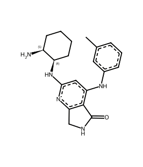 Cc1cccc(Nc2cc(N[C@@H]3CCCC[C@@H]3N)nc3c2C(=O)NC3)c1